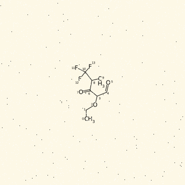 CCOC(C=O)C(=O)C(C)C(F)(F)F